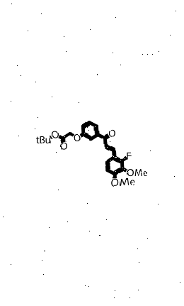 COc1ccc(/C=C/C(=O)c2cccc(OCC(=O)OC(C)(C)C)c2)c(F)c1OC